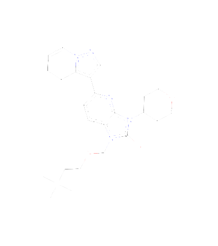 C[Si](C)(C)CCOCn1c(=O)n(C2CCOCC2)c2nc(-c3cnn4c3CCC=C4)ccc21